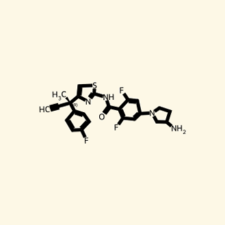 C#C[C@@](C)(c1ccc(F)cc1)c1csc(NC(=O)c2c(F)cc(N3CCC(N)C3)cc2F)n1